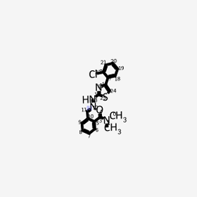 CN(C)C(=O)c1ccccc1/C=N/Nc1nc(-c2ccccc2Cl)cs1